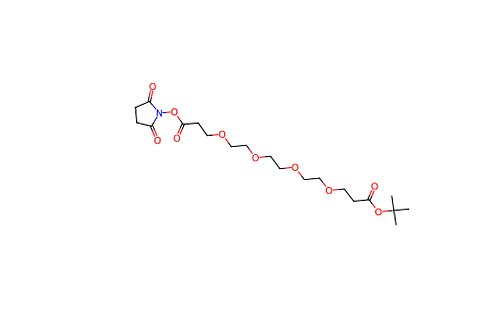 CC(C)(C)OC(=O)CCOCCOCCOCCOCCC(=O)ON1C(=O)CCC1=O